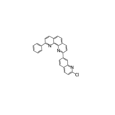 Clc1ccc2ccc(-c3ccc4ccc5ccc(-c6ccccc6)nc5c4n3)cc2n1